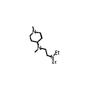 CCN(CC)CCN(C)C1CCN(C)CC1